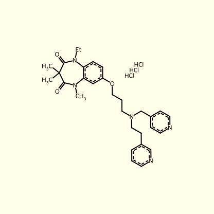 CCN1C(=O)C(C)(C)C(=O)N(C)c2cc(OCCCN(CCc3cccnc3)Cc3ccncc3)ccc21.Cl.Cl.Cl